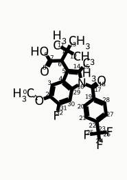 COc1cc2c(C(C(=O)O)C(C)(C)C)c(C)n(C(=O)c3ccc(C(F)(F)F)cc3)c2cc1F